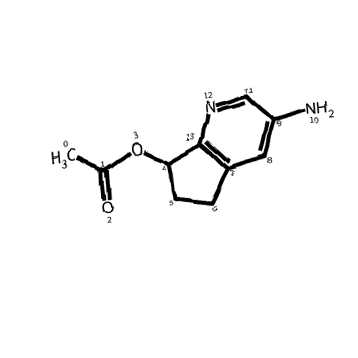 CC(=O)OC1CCc2cc(N)cnc21